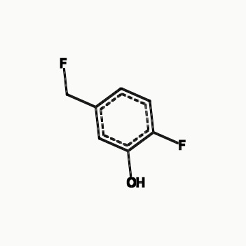 Oc1cc(CF)ccc1F